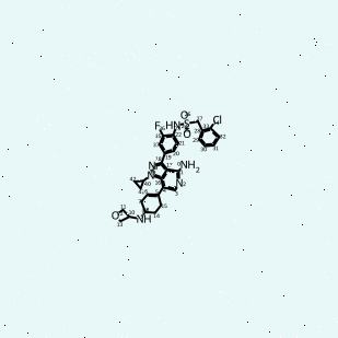 Nc1ncc(C2=CC[C@H](NC3COC3)CC2)c2c1c(-c1ccc(NS(=O)(=O)Cc3ccccc3Cl)c(F)c1)nn2C1CC1